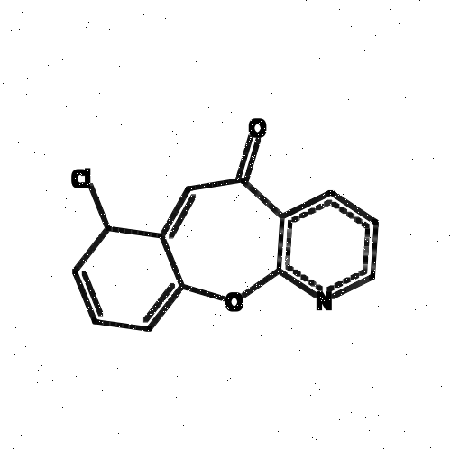 O=C1C=C2C(=CC=CC2Cl)Oc2ncccc21